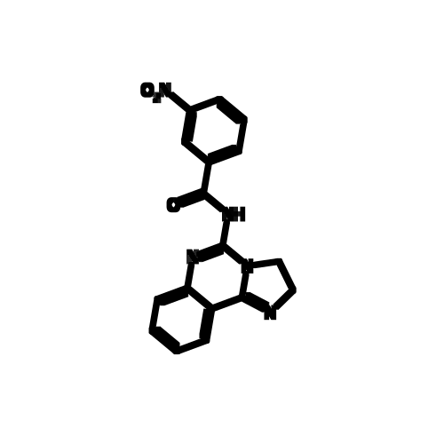 O=C(NC1=Nc2ccccc2C2=NCCN12)c1cccc([N+](=O)[O-])c1